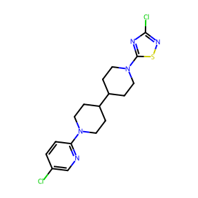 Clc1ccc(N2CCC(C3CCN(c4nc(Cl)ns4)CC3)CC2)nc1